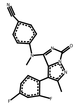 Cc1nn2c(c1-c1ccc(F)cc1F)C(N(C)c1ccc(C#N)cc1)=NC2=O